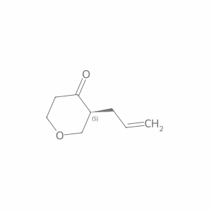 C=CC[C@H]1COCCC1=O